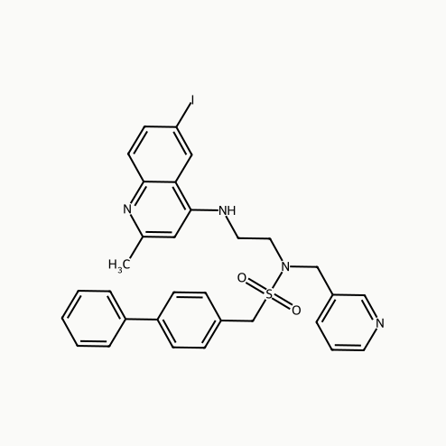 Cc1cc(NCCN(Cc2cccnc2)S(=O)(=O)Cc2ccc(-c3ccccc3)cc2)c2cc(I)ccc2n1